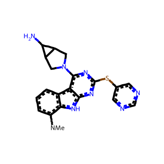 CNc1cccc2c1[nH]c1nc(Sc3cncnc3)nc(N3CC4C(N)C4C3)c12